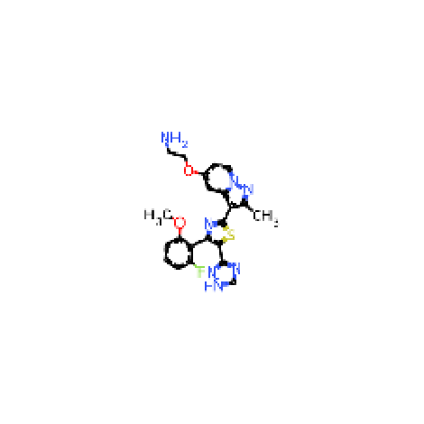 COc1cccc(F)c1-c1nc(-c2c(C)nn3ccc(OCCN)cc23)sc1-c1nc[nH]n1